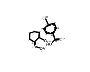 O/N=C1/CCCCC1Cl.O=C(O)c1ccc(Cl)cc1